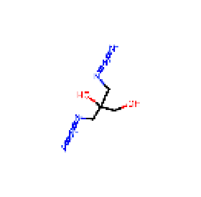 [N-]=[N+]=NCC(O)(CO)CN=[N+]=[N-]